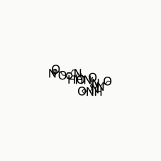 COCCN(C)c1nc(NC2COC2)cc(C(=O)NCC(O)CN2CCc3cc(OCc4cnco4)ccc3C2)n1